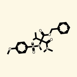 COc1ccc(S(=O)(=O)N(C)C(C(=O)OCc2ccccc2)(C(=O)N(C)C)C(C)C)cc1